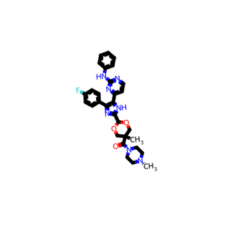 CN1CCN(C(=O)C2(C)COC(c3nc(-c4ccc(F)cc4)c(-c4ccnc(Nc5ccccc5)n4)[nH]3)OC2)CC1